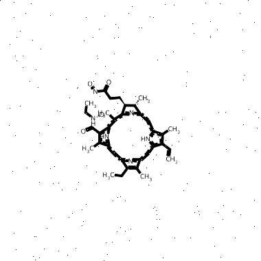 C=Cc1c(C)c2cc3nc(c(C)c4[nH]c(cc5nc(cc1[nH]2)C(C)=C5CC)c(C)c4C(=O)[NH+]([O-])CC)[C@@H](CCC(=O)N=O)[C@@H]3C